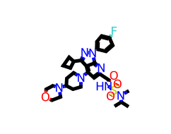 CC(C)N(C)S(=O)(=O)NC(=O)c1cc(N2CCC(N3CCOCC3)CC2)c2c(C3CCC3)nn(-c3ccc(F)cc3)c2n1